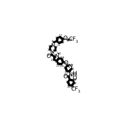 Cn1c(C(=O)N2CCN(Cc3ccc(OCC(F)(F)F)cc3)CC2)cc2ccc(Oc3ccc(NC(=O)c4ccc(C(F)(F)F)cc4O)cn3)cc21